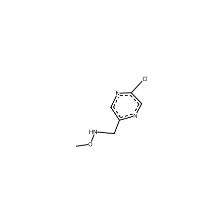 CONCc1cnc(Cl)cn1